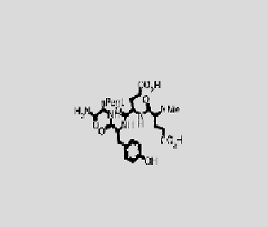 CCCCCC(NC(=O)C(Cc1ccc(O)cc1)NC(=O)C(CCC(=O)O)NC(=O)C(CCC(=O)O)NC)C(N)=O